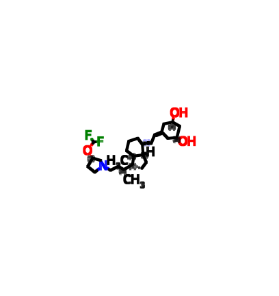 C[C@H](CCN1CC[C@H](OC(F)F)C1)[C@H]1CC[C@H]2/C(=C/C=C3C[C@@H](O)C[C@H](O)C3)CCC[C@]12C